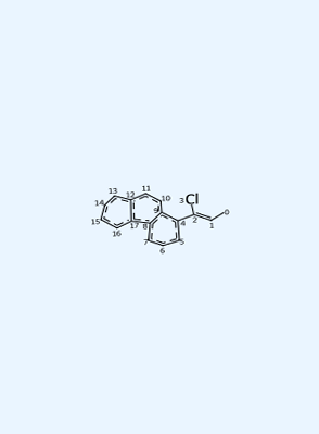 CC=C(Cl)c1cccc2c1ccc1ccccc12